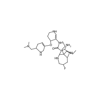 CCCC1(CCC)C2CC(F)CNC1C(C(=O)NC1=CNCCC1OC1=CCC(CN(C)C)NC1)C(N)N2